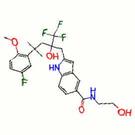 COc1ccc(F)cc1C(C)(C)CC(O)(Cc1cc2cc(C(=O)NCCO)ccc2[nH]1)C(F)(F)F